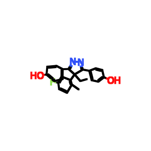 CCC1(c2cc(F)ccc2C)C(c2ccc(O)cc2)=NN=C1c1ccc(O)cc1